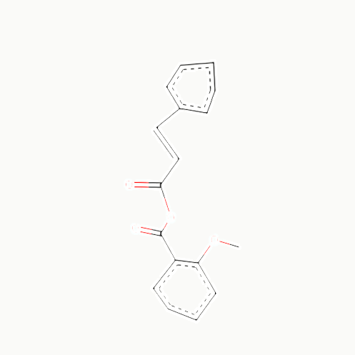 COc1ccccc1C(=O)OC(=O)C=Cc1ccccc1